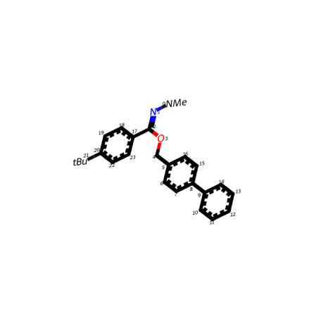 CN/N=C(\OCc1ccc(-c2ccccc2)cc1)c1ccc(C(C)(C)C)cc1